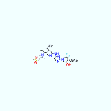 C=C/C(=c1/cnc(Nc2ccnc(N3C[C@@H](O)[C@@H](OC)C(F)(F)C3)n2)c/c1=C(/C)C(C)C)N1C[C@H](CS(C)(=O)=O)[C@H]1C